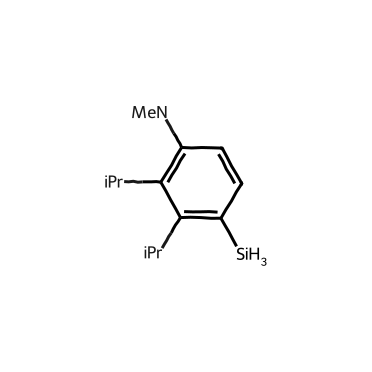 CNc1ccc([SiH3])c(C(C)C)c1C(C)C